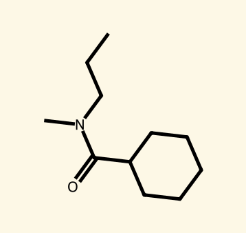 CCCN(C)C(=O)C1CCCCC1